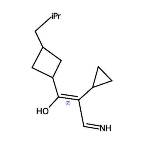 CC(C)CC1CC(/C(O)=C(/C=N)C2CC2)C1